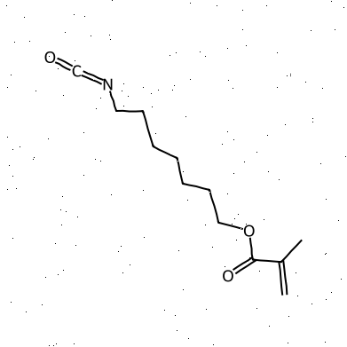 C=C(C)C(=O)OCCCCCCCN=C=O